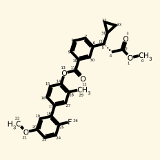 COC(=O)C[C@H](c1cccc(C(=O)Oc2ccc(-c3cc(OC)ccc3F)cc2C)c1)C1CC1